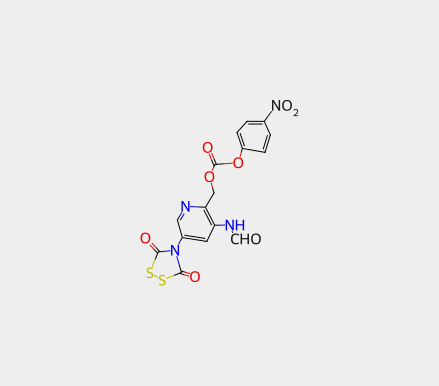 O=CNc1cc(-n2c(=O)ssc2=O)cnc1COC(=O)Oc1ccc([N+](=O)[O-])cc1